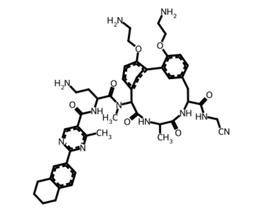 Cc1nc(-c2ccc3c(c2)CCCC3)ncc1C(=O)NC(CCN)C(=O)N(C)C1C(=O)NC(C)C(=O)NC(C(=O)NCC#N)Cc2ccc(OCCN)c(c2)-c2cc1ccc2OCCN